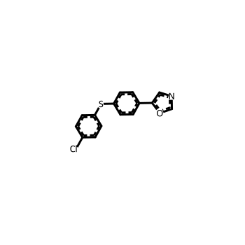 Clc1ccc(Sc2ccc(-c3cnco3)cc2)cc1